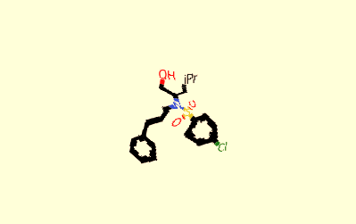 CC(C)C[C@H](CO)N(CC=Cc1ccccc1)S(=O)(=O)c1ccc(Cl)cc1